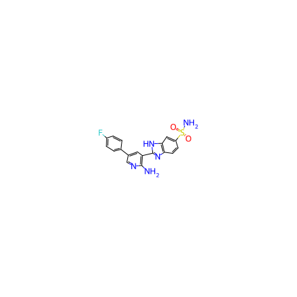 Nc1ncc(-c2ccc(F)cc2)cc1-c1nc2ccc(S(N)(=O)=O)cc2[nH]1